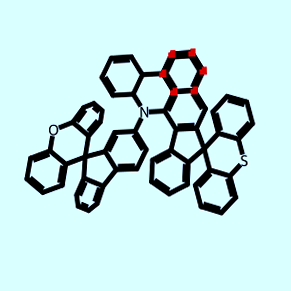 C1=CC(c2ccccc2)C(N(c2ccc3c(c2)C2(c4ccccc4Oc4ccccc42)c2ccccc2-3)c2c3c(cc4ccccc24)C2(c4ccccc4Sc4ccccc42)c2ccccc2-3)C=C1